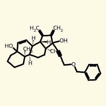 C=C1C(=C)C(O)(C#CCOCc2ccccc2)[C@@]2(C)CC[C@@H]3[C@@H](C=CC4(O)CCCC[C@]34C)[C@H]12